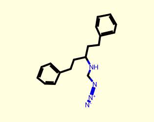 [N-]=[N+]=NCNC(CCc1ccccc1)CCc1ccccc1